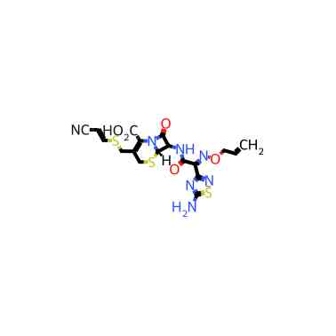 C=CCON=C(C(=O)NC1C(=O)N2C(C(=O)O)=C(CS/C=C/C#N)CS[C@@H]12)c1nsc(N)n1